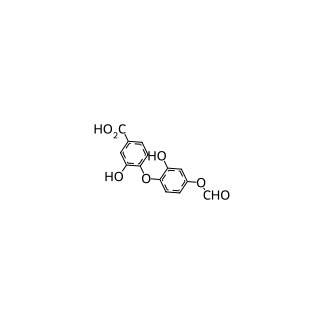 O=COc1ccc(Oc2ccc(C(=O)O)cc2O)c(O)c1